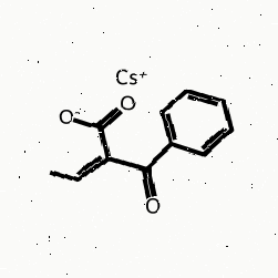 CC=C(C(=O)[O-])C(=O)c1ccccc1.[Cs+]